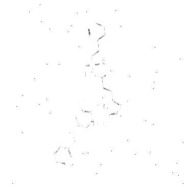 Cc1nc(Cl)c(C=CC(=O)NS(=O)(=O)C=Cc2ccccc2)n1Cc1ccc(OCc2ccccc2)cc1Cl